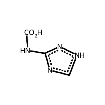 O=C(O)Nc1nc[nH]n1